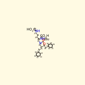 CC(C)(C)OC(=O)N(CC(CCc1ccccc1)CCc1ccccc1)C[C@H](CCCNC(=O)O)NC(=O)O